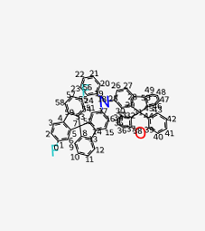 Fc1ccc2c(c1)C1(c3ccccc3-c3ccc(N(c4ccccc4)c4ccc5c(c4)C4(c6ccccc6Oc6ccccc64)c4ccccc4-5)cc31)c1cc(F)ccc1-2